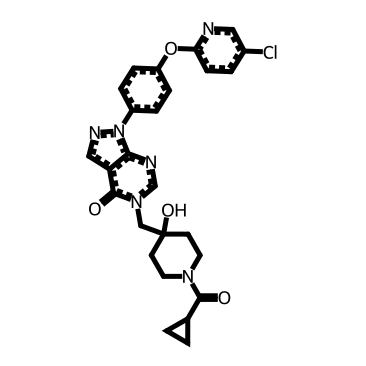 O=C(C1CC1)N1CCC(O)(Cn2cnc3c(cnn3-c3ccc(Oc4ccc(Cl)cn4)cc3)c2=O)CC1